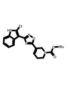 CCc1[nH]c2ccccc2c1-c1noc(C2=CCCN(C(=O)OC(C)(C)C)C2)n1